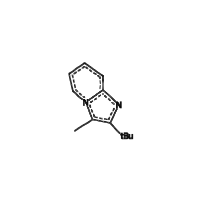 Cc1c(C(C)(C)C)nc2ccccn12